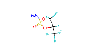 NS(=O)(=O)OC(F)(C(F)F)C(F)(F)F